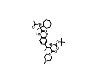 CC(=O)N[C@@](C)(C(=O)Nc1ccc([C@H](C)[C@@H](NC(=O)OC(C)(C)C)C(=O)N2CCN(C)CC2)cc1F)C1CCCCCC1